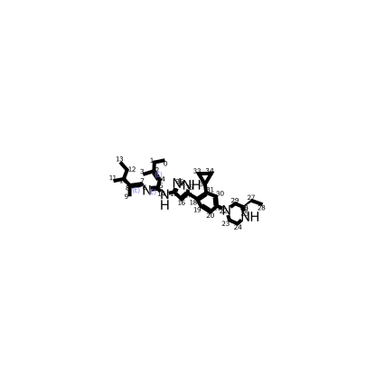 CC/C(C)=C/C(=N\C=C(/C)C(C)CC)Nc1cc(-c2ccc(N3CCN[C@H](CC)C3)cc2C2CC2)[nH]n1